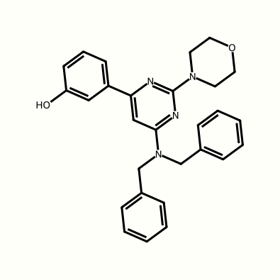 Oc1cccc(-c2cc(N(Cc3ccccc3)Cc3ccccc3)nc(N3CCOCC3)n2)c1